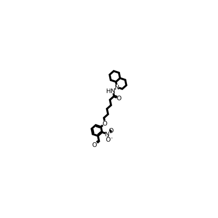 O=Cc1cccc(OCCCCCC(=O)NN2CCCC3CCCCC32)c1[N+](=O)[O-]